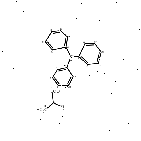 CCC(C(=O)[O-])C(=O)O.c1ccc([S+](c2ccccc2)c2ccccc2)cc1